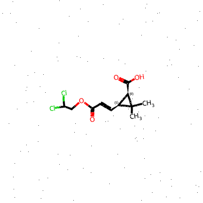 CC1(C)[C@H](C(=O)O)[C@@H]1C=CC(=O)OCC(Cl)Cl